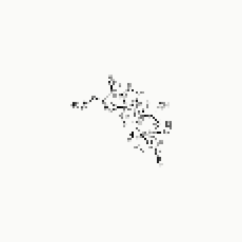 CC[C@H]1[C@@H](O)[C@@H]2[C@H](CC[C@]3(C)[C@@H]([C@H](C)CCC(=O)O)CC[C@@H]23)[C@@]2(C)CC[C@H](F)C[C@@H]12